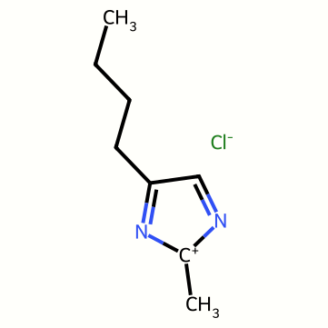 CCCCC1=N[C+](C)N=C1.[Cl-]